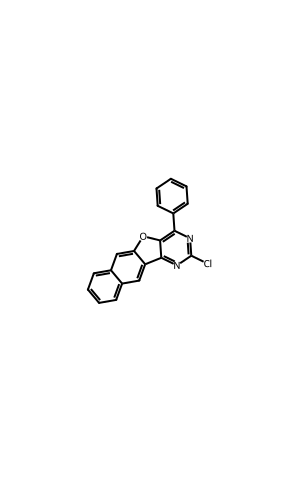 Clc1nc(-c2ccccc2)c2oc3cc4ccccc4cc3c2n1